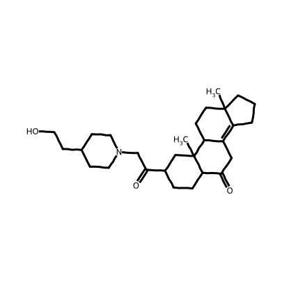 CC12CCCC1=C1CC(=O)C3CCC(C(=O)CN4CCC(CCO)CC4)CC3(C)C1CC2